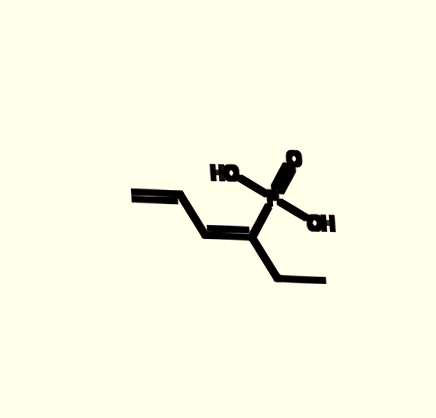 C=CC=C(CC)P(=O)(O)O